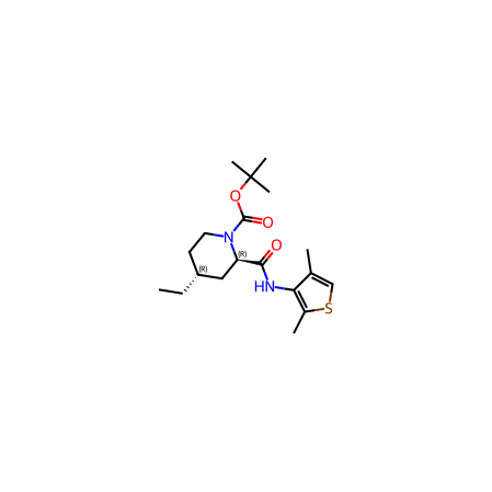 CC[C@@H]1CCN(C(=O)OC(C)(C)C)[C@@H](C(=O)Nc2c(C)csc2C)C1